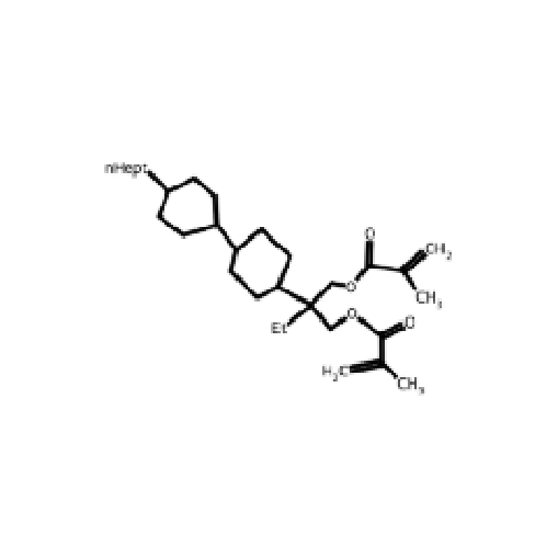 C=C(C)C(=O)OCC(CC)(COC(=O)C(=C)C)C1CCC(C2CCC(CCCCCCC)CC2)CC1